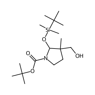 CC(C)(C)OC(=O)N1CCC(C)(CO)C1O[Si](C)(C)C(C)(C)C